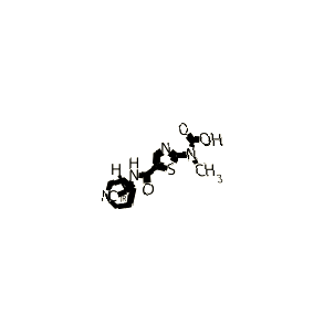 CN(C(=O)O)c1ncc(C(=O)N[C@H]2CN3CCC2CC3)s1